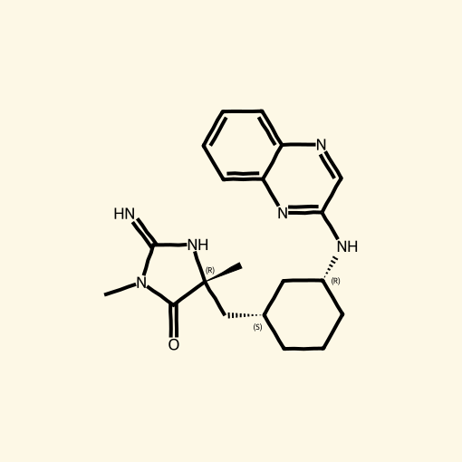 CN1C(=N)N[C@](C)(C[C@H]2CCC[C@@H](Nc3cnc4ccccc4n3)C2)C1=O